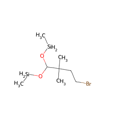 C[SiH2]OC(O[SiH2]C)C(C)(C)CCBr